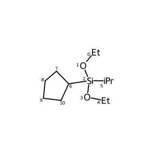 CCO[Si](OCC)(C(C)C)C1CCCC1